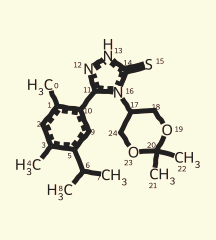 Cc1cc(C)c(C(C)C)cc1-c1n[nH]c(=S)n1C1COC(C)(C)OC1